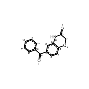 O=C1COc2ccc(C(=O)c3ccccc3)cc2N1